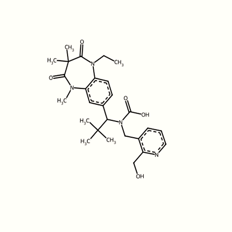 CCN1C(=O)C(C)(C)C(=O)N(C)c2cc(C(N(Cc3cccnc3CO)C(=O)O)C(C)(C)C)ccc21